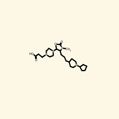 CN1C(=O)OC(N2CCN(CCC(=O)O)CC2)C1CCCC1CCN(C2CCCC2)CC1